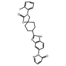 O=C1OC2(CCC(c3nc4cc(-n5ncccc5=O)ccc4[nH]3)CC2)CN1c1ccccc1F